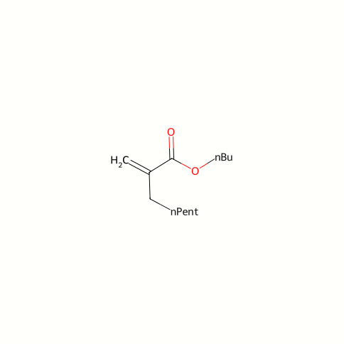 C=C(CCCCCC)C(=O)OCCCC